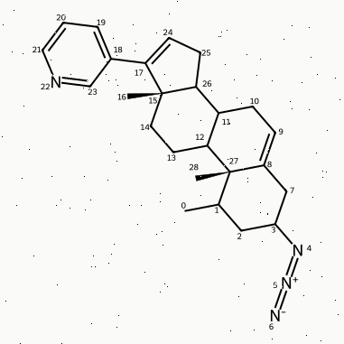 CC1CC(N=[N+]=[N-])CC2=CCC3C(CC[C@]4(C)C(c5cccnc5)=CCC34)[C@]21C